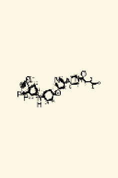 CCCCC(=O)N1CCN(c2cncc(OC3CCC(Nc4ccc([N+](=O)[O-])c(C(F)(F)F)c4)CC3)c2)CC1